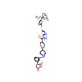 CC(C)(C)c1cnc(CSc2cnc(NC(=O)C3CCN(C4CCN(Cc5cccc(C6CCC(=O)NC6=O)c5)CC4)CC3)s2)o1